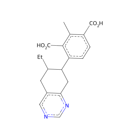 CCC1Cc2cncnc2CC1c1ccc(C(=O)O)c(C)c1C(=O)O